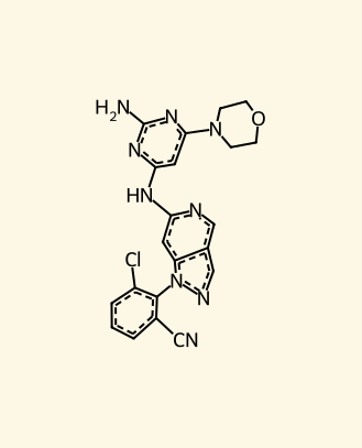 N#Cc1cccc(Cl)c1-n1ncc2cnc(Nc3cc(N4CCOCC4)nc(N)n3)cc21